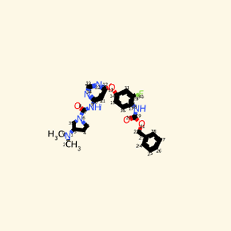 CN(C)C1CCN(C(=O)Nc2cc(Oc3ccc(NC(=O)OCc4ccccc4)c(F)c3)ncn2)C1